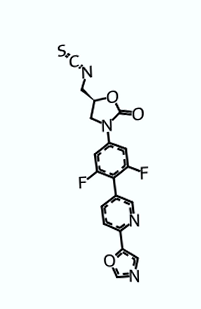 O=C1O[C@H](CN=C=S)CN1c1cc(F)c(-c2ccc(-c3cnco3)nc2)c(F)c1